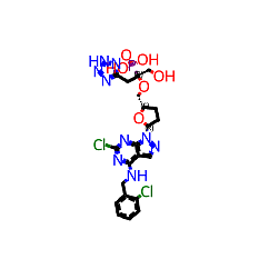 O=P(O)(O)[C@@](CO)(Cc1nn[nH]n1)OC[C@@H]1CC[C@H](n2ncc3c(NCc4ccccc4Cl)nc(Cl)nc32)O1